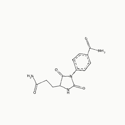 NC(=O)CCC1NC(=O)N(c2ccc(C(N)=O)cc2)C1=O